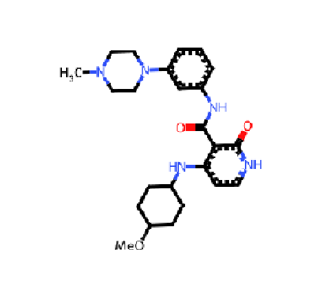 COC1CCC(Nc2cc[nH]c(=O)c2C(=O)Nc2cccc(N3CCN(C)CC3)c2)CC1